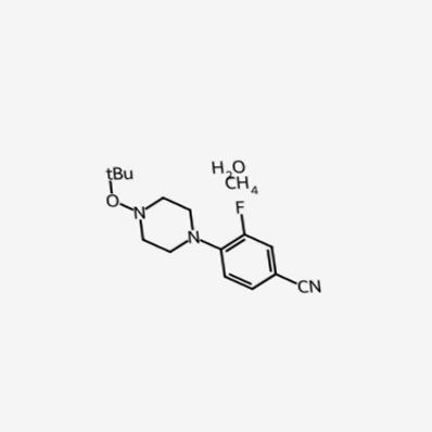 C.CC(C)(C)ON1CCN(c2ccc(C#N)cc2F)CC1.O